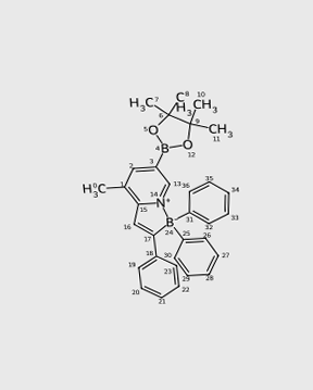 Cc1cc(B2OC(C)(C)C(C)(C)O2)c[n+]2c1C=C(c1ccccc1)[B-]2(c1ccccc1)c1ccccc1